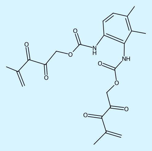 C=C(C)C(=O)C(=O)COC(=O)Nc1ccc(C)c(C)c1NC(=O)OCC(=O)C(=O)C(=C)C